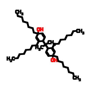 CCCCCCCCC1=CC(O)(CCCCCCCC)C=CC1C(C)(C)C1C=CC(O)(CCCCCCCC)C=C1CCCCCCCC